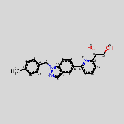 Cc1ccc(Cn2ncc3cc(-c4cccc([C@H](O)CO)n4)ccc32)cc1